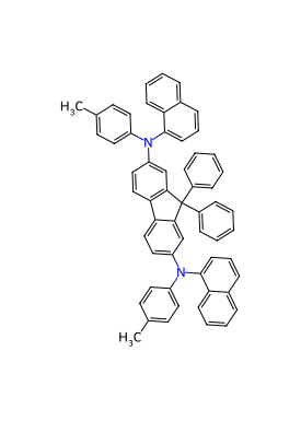 Cc1ccc(N(c2ccc3c(c2)C(c2ccccc2)(c2ccccc2)c2cc(N(c4ccc(C)cc4)c4cccc5ccccc45)ccc2-3)c2cccc3ccccc23)cc1